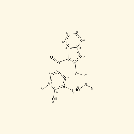 Cc1cc(C(=O)c2c(CCC(C)O)oc3ccccc23)cc(I)c1O